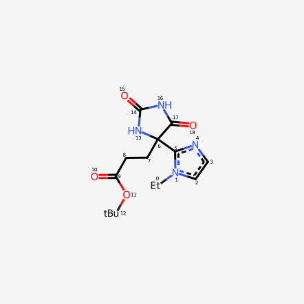 CCn1ccnc1C1(CCC(=O)OC(C)(C)C)NC(=O)NC1=O